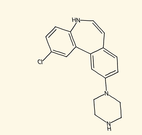 Clc1ccc2c(c1)-c1cc(N3CCNCC3)ccc1C=CN2